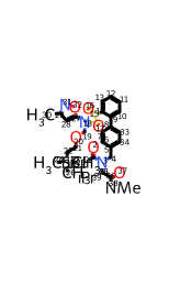 CCCCC(=O)N(Cc1ccc(-c2ccccc2S(=O)(=O)N(COCC[Si](C)(C)C)c2cc(C)no2)cc1)[C@H](C(=O)NC)C(C)C